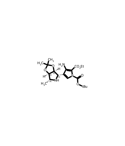 CCOC(=O)c1c(N)c([C@@H]2N[C@H](C)[C@H]3OC(C)(C)O[C@H]32)cn1C(=O)OC(C)(C)C